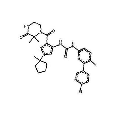 CCc1ccc(-c2cc(NC(=O)Nc3cn(C4(C)CCCC4)nc3C(=O)N3CCNC(=O)C3(C)C)ccc2C)cn1